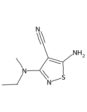 CCN(C)c1nsc(N)c1C#N